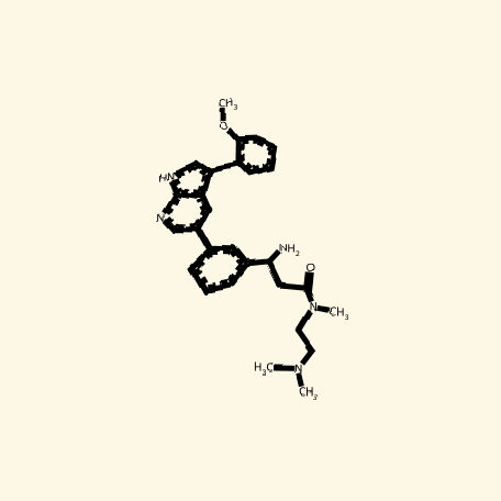 COc1ccccc1-c1c[nH]c2ncc(-c3cccc(C(N)CC(=O)N(C)CCN(C)C)c3)cc12